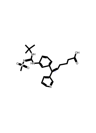 CC(C)(C)NC(=NS(C)(=O)=O)Nc1cccc(/C(=C\CCCC(=O)O)c2cccnc2)c1